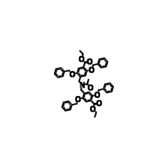 CCOC(=O)c1cc(OCc2ccccc2)c(CN(Cc2cc(OCc3ccccc3)c(C(=O)OCC)cc2OCc2ccccc2)C(C)=O)cc1OCc1ccccc1